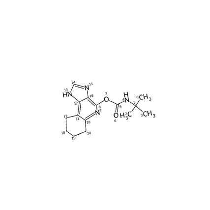 CC(C)(C)NC(=O)Oc1nc2c(c3[nH]cnc13)CCCC2